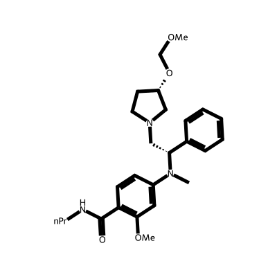 CCCNC(=O)c1ccc(N(C)[C@H](CN2CC[C@H](OCOC)C2)c2ccccc2)cc1OC